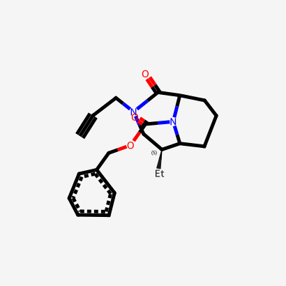 C#CCN1C[C@H](CC)C2CCCC(C1=O)N2C(=O)OCc1ccccc1